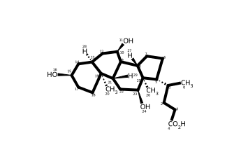 CC(CCC(=O)O)[C@H]1CC[C@H]2C3[C@H](O)C[C@@H]4C[C@H](O)CC[C@]4(C)[C@H]3C[C@H](O)[C@]12C